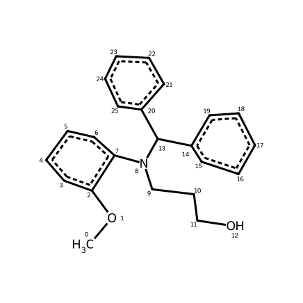 COc1ccccc1N(CCCO)C(c1ccccc1)c1ccccc1